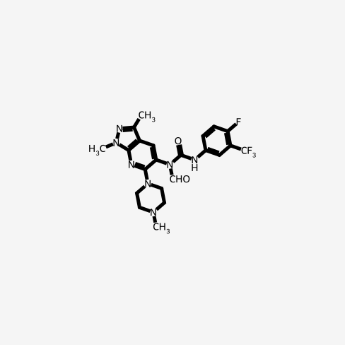 Cc1nn(C)c2nc(N3CCN(C)CC3)c(N(C=O)C(=O)Nc3ccc(F)c(C(F)(F)F)c3)cc12